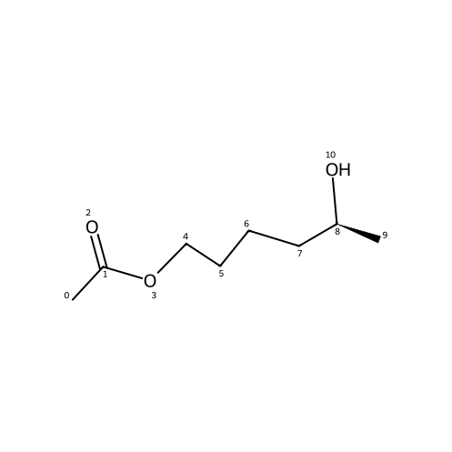 CC(=O)OCCCC[C@H](C)O